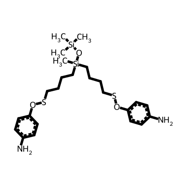 C[Si](C)(C)O[Si](C)(CCCCSOc1ccc(N)cc1)CCCCSOc1ccc(N)cc1